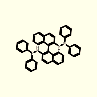 c1ccc(P(Nc2ccc3ccccc3c2-c2c(NP(c3ccccc3)c3ccccc3)ccc3ccccc23)c2ccccc2)cc1